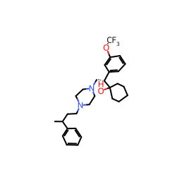 CC(CCN1CCN(C[C@H](c2cccc(OC(F)(F)F)c2)C2(O)CCCCC2)CC1)c1ccccc1